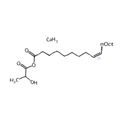 CCCCCCCC/C=C\CCCCCCCC(=O)OC(=O)C(C)O.[CaH2]